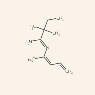 C=C/C=C(C)\N=C(/N)C(C)(C)CC